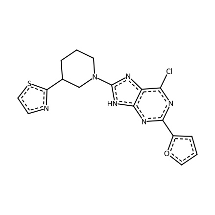 Clc1nc(-c2ccco2)nc2[nH]c(N3CCCC(c4nccs4)C3)nc12